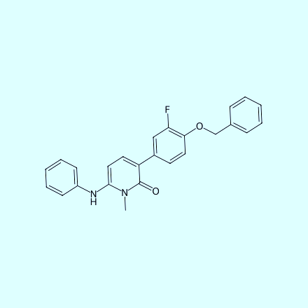 Cn1c(Nc2ccccc2)ccc(-c2ccc(OCc3ccccc3)c(F)c2)c1=O